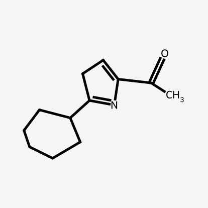 CC(=O)C1=CCC(C2CCCCC2)=N1